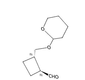 O=C[C@H]1CC[C@@H]1COC1CCCCO1